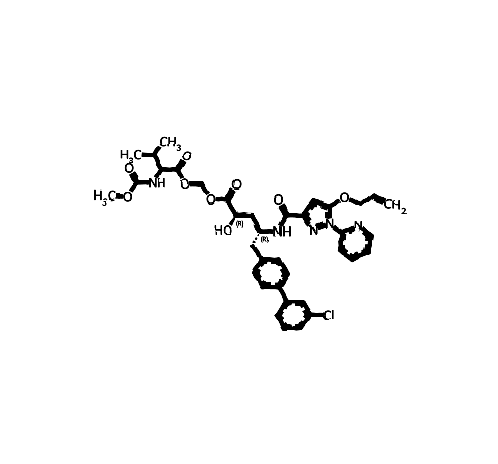 C=CCOc1cc(C(=O)N[C@H](Cc2ccc(-c3cccc(Cl)c3)cc2)C[C@@H](O)C(=O)OCOC(=O)C(NC(=O)OC)C(C)C)nn1-c1ccccn1